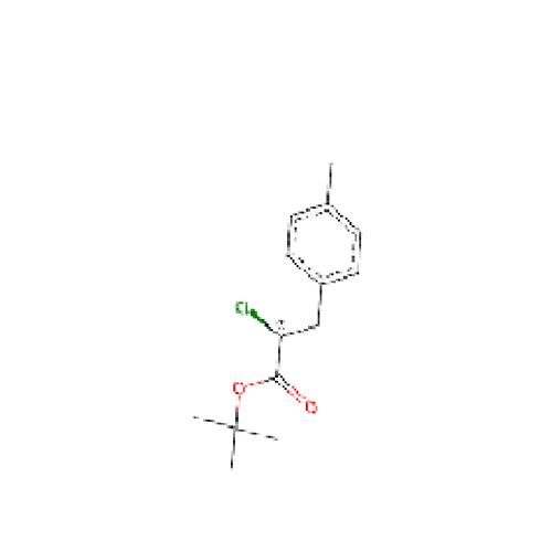 Cc1ccc(C[C@H](Cl)C(=O)OC(C)(C)C)cc1